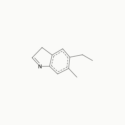 CCc1cc2c(cc1C)N=CC2